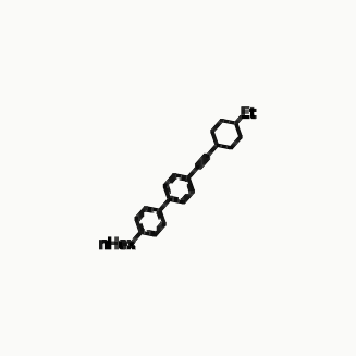 CCCCCCc1ccc(-c2ccc(C#CC3CCC(CC)CC3)cc2)cc1